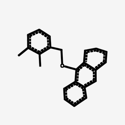 Cc1cccc(COc2c3ccccc3cc3ccccc23)c1C